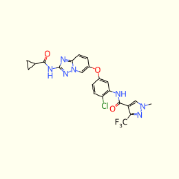 Cn1cc(C(=O)Nc2cc(Oc3ccc4nc(NC(=O)C5CC5)nn4c3)ccc2Cl)c(C(F)(F)F)n1